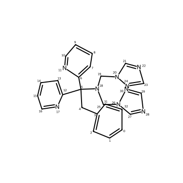 c1ccc(CC(c2ccccn2)(c2ccccn2)N(Cn2cncn2)Cn2cncn2)cc1